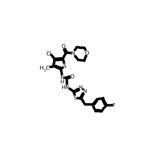 Cc1c(NC(=O)Nc2nnc(Cc3ccc(F)cc3)s2)sc(C(=O)N2CCOCC2)c1Cl